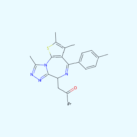 Cc1ccc(C2=NC(CC(=O)C(C)C)c3nnc(C)n3-c3sc(C)c(C)c32)cc1